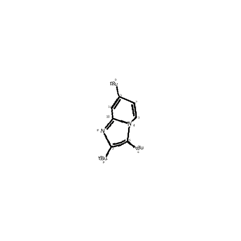 CC(C)(C)c1ccn2c(C(C)(C)C)c(C(C)(C)C)nc2c1